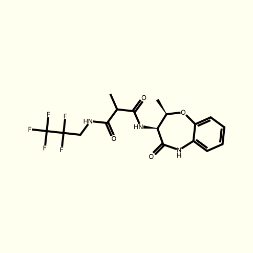 CC(C(=O)NCC(F)(F)C(F)(F)F)C(=O)N[C@@H]1C(=O)Nc2ccccc2O[C@@H]1C